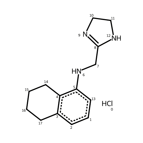 Cl.c1cc2c(c(NCC3=NCCN3)c1)CCCC2